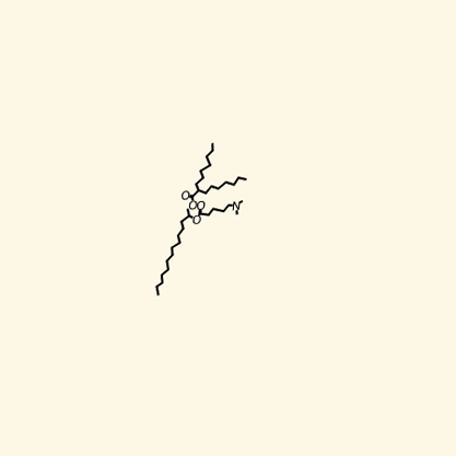 CCCCCCCCCCCCC(COC(=O)C(CCCCCCC)CCCCCCC)OC(=O)CCCCN(C)C